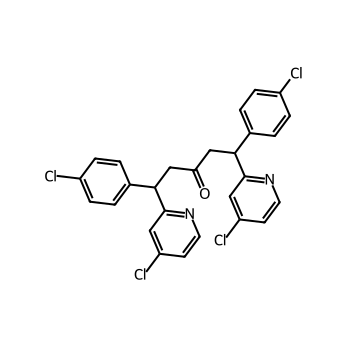 O=C(CC(c1ccc(Cl)cc1)c1cc(Cl)ccn1)CC(c1ccc(Cl)cc1)c1cc(Cl)ccn1